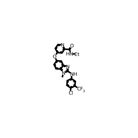 CCNC(=O)c1cc(Oc2ccc3c(c2)nc(Nc2ccc(Cl)c(C(F)(F)F)c2)n3C)ccn1